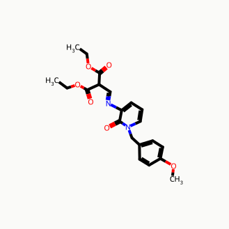 CCOC(=O)C(/C=N/c1cccn(Cc2ccc(OC)cc2)c1=O)C(=O)OCC